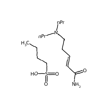 CCCCS(=O)(=O)O.CCCN(CCC)CCC=CC(N)=O